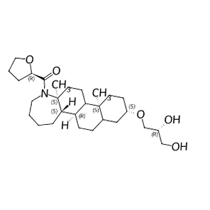 C[C@]12CC[C@H](OC[C@H](O)CO)CC1CC[C@@H]1C2CC[C@@]2(C)[C@H]1CCCCN2C(=O)[C@H]1CCCO1